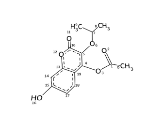 CC(=O)Oc1c(OC(C)C)c(=O)oc2cc(O)ccc12